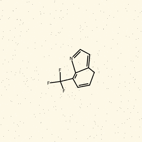 FC(F)(F)C1=C2N=CC=C2CC=C1